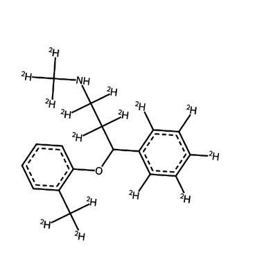 [2H]c1c([2H])c([2H])c(C(Oc2ccccc2C([2H])([2H])[2H])C([2H])([2H])C([2H])([2H])NC([2H])([2H])[2H])c([2H])c1[2H]